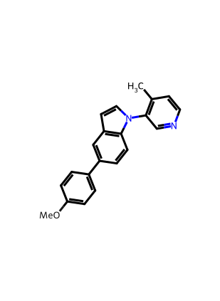 COc1ccc(-c2ccc3c(ccn3-c3cnccc3C)c2)cc1